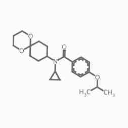 CC(C)Oc1ccc(C(=O)N(C2CC2)C2CCC3(CC2)OCCCO3)cc1